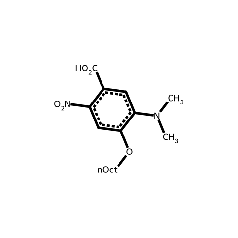 CCCCCCCCOc1cc([N+](=O)[O-])c(C(=O)O)cc1N(C)C